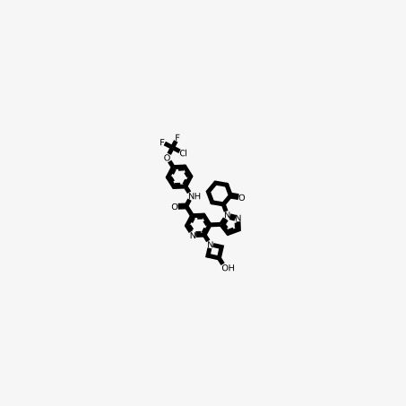 O=C(Nc1ccc(OC(F)(F)Cl)cc1)c1cnc(N2CC(O)C2)c(-c2ccnn2C2CCCCC2=O)c1